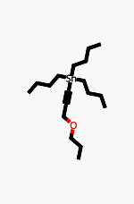 CCC[CH2][Sn]([C]#CCOCCC)([CH2]CCC)[CH2]CCC